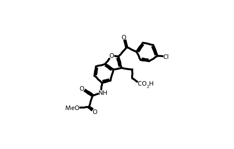 COC(=O)C(=O)Nc1ccc2oc(C(=O)c3ccc(Cl)cc3)c(CCC(=O)O)c2c1